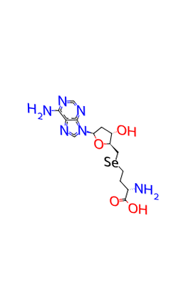 Nc1ncnc2c1ncn2[C@H]1C[C@H](O)[C@@H](C[Se]CC[C@H](N)C(=O)O)O1